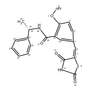 CCCOc1ccc(/C=C2/SC(=O)NC2=O)cc1C(=O)N[C@@H](C)c1ccccc1